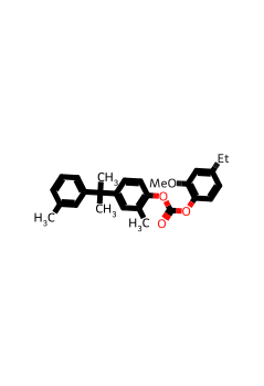 CCc1ccc(OC(=O)Oc2ccc(C(C)(C)c3cccc(C)c3)cc2C)c(OC)c1